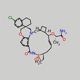 CC[C@@H]1CC/C=C/[C@H](O[C@@H](C)C(N)=O)[C@@H]2CC[C@H]2CN2C[C@@]3(CCCc4cc(Cl)ccc43)COc3ccc(cc32)C(=O)NS1(=O)=O